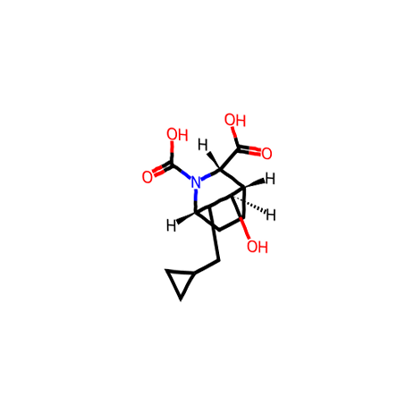 O=C(O)[C@@H]1[C@@H]2CC[C@@H](C(CC3CC3)[C@@H]2O)N1C(=O)O